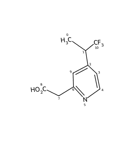 CC(c1ccnc(CC(=O)O)c1)C(F)(F)F